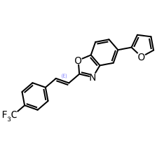 FC(F)(F)c1ccc(/C=C/c2nc3cc(-c4ccco4)ccc3o2)cc1